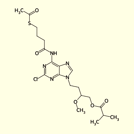 COC(CCn1cnc2c(NC(=O)CCCSC(C)=O)nc(Cl)nc21)COC(=O)C(C)C